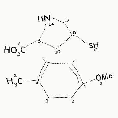 COc1ccc(C)cc1.O=C(O)C1CC(S)CN1